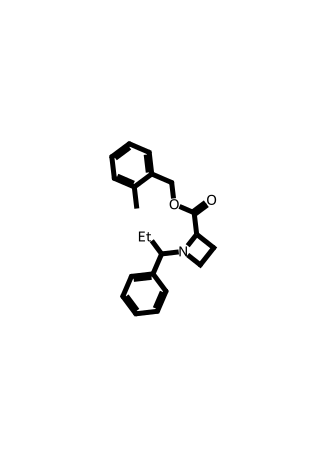 CCC(c1ccccc1)N1CCC1C(=O)OCc1ccccc1C